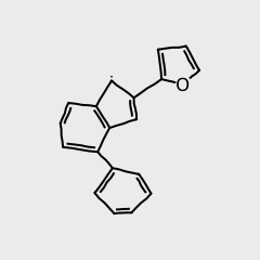 [CH]1C(c2ccco2)=Cc2c1cccc2-c1ccccc1